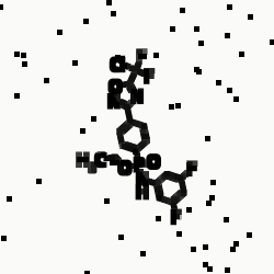 CCOP(=O)(Nc1cc(F)cc(F)c1)c1ccc(-c2noc(C(F)(F)Cl)n2)cc1